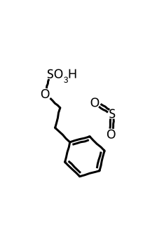 O=S(=O)(O)OCCc1ccccc1.O=S=O